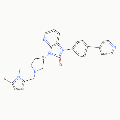 Cn1c(I)cnc1CN1CC[C@H](n2c(=O)n(-c3ccc(-c4ccncc4)cc3)c3cccnc32)C1